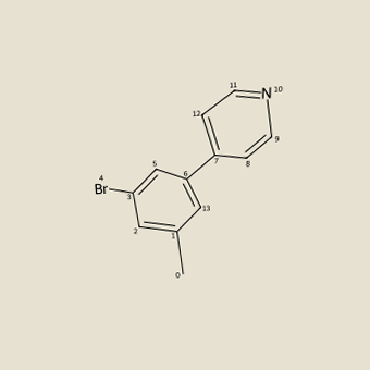 Cc1cc(Br)cc(-c2ccncc2)c1